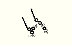 CCCCCCCCCCC1CCC([C@]2(c3ccc(OC(F)F)cc3)CC[C@@H](C(=O)O)CC2)CC1.CCCCCCCCC[C@H]1CC[C@H]([C@H]2CC[C@H](C(=O)Oc3ccc(OC(F)F)cc3)CC2)CC1